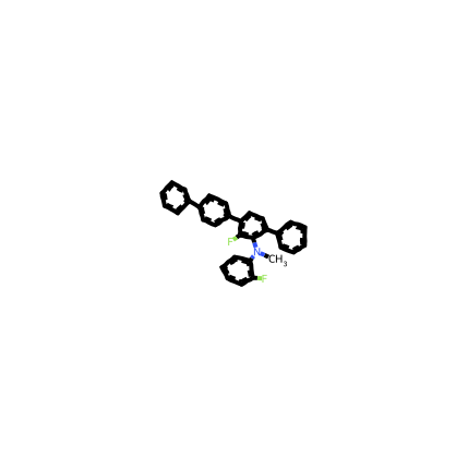 CN(c1ccccc1F)c1c(-c2ccccc2)ccc(-c2ccc(-c3ccccc3)cc2)c1F